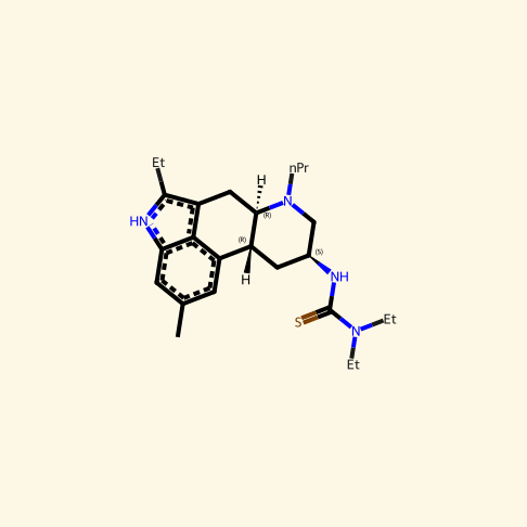 CCCN1C[C@@H](NC(=S)N(CC)CC)C[C@@H]2c3cc(C)cc4[nH]c(CC)c(c34)C[C@H]21